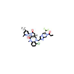 C=CC(=O)N1Cc2nc(CN3C[C@H]4CC(=O)N(c5cc(C(F)(F)F)cc(C)n5)[C@@H]4C(=O)N(C)c4cccc(Cl)c43)cn2C[C@@H]1C(F)F